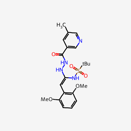 COc1cccc(OC)c1/C=C(/NNC(=O)c1cncc(C)c1)NS(=O)(=O)C(C)(C)C